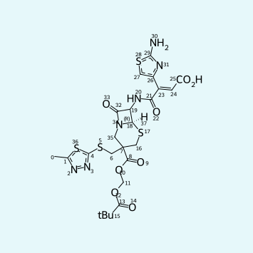 Cc1nnc(SCC2(C(=O)OCOC(=O)C(C)(C)C)CS[C@@H]3C(NC(=O)C(=CC(=O)O)c4csc(N)n4)C(=O)N3C2)s1